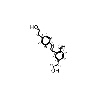 OCCc1ccc(N=Nc2cc(CCO)ccc2O)cc1